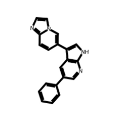 c1ccc(-c2cnc3[nH]cc(-c4ccc5nccn5c4)c3c2)cc1